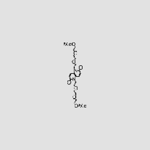 COCCOCCOCCn1c(=O)ccc2c1ccc(=O)n2CCOCCOCCOC